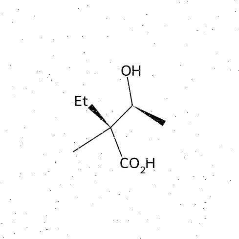 CC[C@](C)(C(=O)O)[C@H](C)O